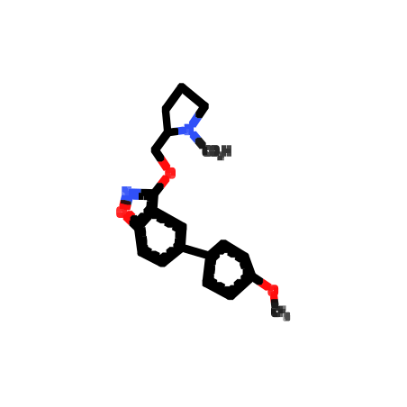 O=C(O)N1CCCC1COc1noc2ccc(-c3ccc(OC(F)(F)F)cc3)cc12